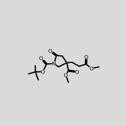 COC(=O)CCC1(C(=O)OC)CC(=O)N(C(=O)OC(C)(C)C)C1